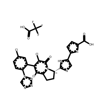 O=C(O)C(F)(F)F.O=C(O)c1ccc(-c2cnc([C@@H]3CCc4c(Cl)c(-c5cc(Cl)ccc5-n5cnnn5)c(Cl)c(=O)n43)[nH]2)s1